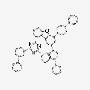 c1ccc(-c2ccc(-c3cc(-c4ccc(-c5ccccc5)cc4)c4oc5cccc(-c6nc(-c7ccccc7)nc(-c7cccc(-c8ccccc8)c7)n6)c5c4c3)cc2)cc1